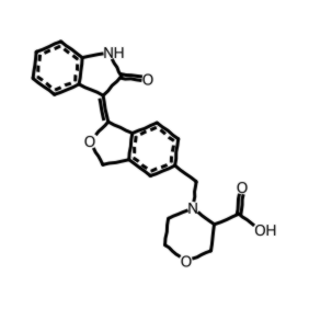 O=C1Nc2ccccc2C1=C1OCc2cc(CN3CCOCC3C(=O)O)ccc21